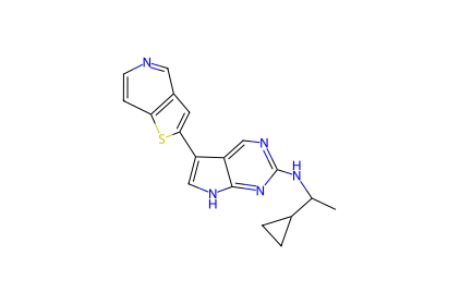 CC(Nc1ncc2c(-c3cc4cnccc4s3)c[nH]c2n1)C1CC1